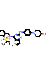 CC(C)S(=O)(=O)c1ccccc1CNc1nc(Nc2ccc(N3CCC(O)CC3)cc2)nc2ccsc12